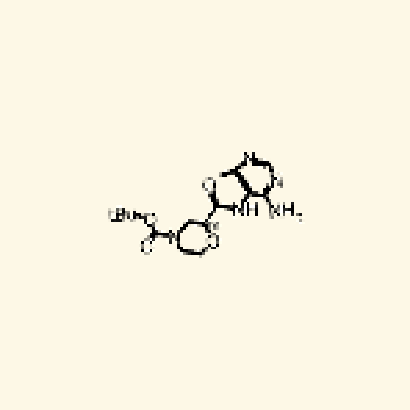 Cc1ncnc(N)c1NC(=O)[C@@H]1CN(C(=O)OC(C)(C)C)CCO1